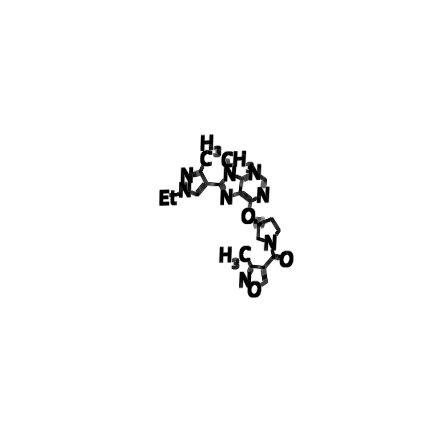 CCn1cc(-c2nc3c(O[C@H]4CCN(C(=O)c5conc5C)C4)ncnc3n2C)c(C)n1